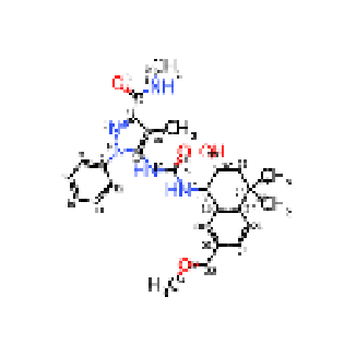 CNC(=O)c1nn(-c2ccccc2)c(NC(=O)NC2c3cc(COC)ccc3C(C)(C)C[C@H]2O)c1C